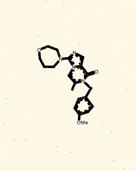 COc1ccc(Cn2c(C)cn3c(N4CCCOCC4)ncc3c2=O)cc1